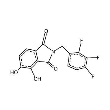 O=C1c2ccc(O)c(O)c2C(=O)N1Cc1ccc(F)c(F)c1F